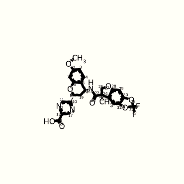 COc1ccc2c(c1)O[C@@H](c1cnc(C(=O)O)cn1)C[C@H]2NC(=O)[C@@]1(C)COc2cc3c(cc21)OC(F)(F)O3